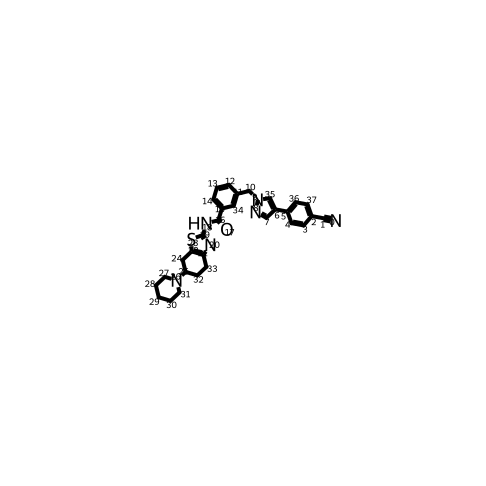 N#Cc1ccc(-c2cnn(Cc3cccc(C(=O)Nc4nc5c(s4)CC(N4CCCCC4)CC5)c3)c2)cc1